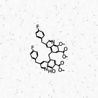 COC(=O)c1cc(Cc2cc(C(=O)OC)c(OC)c3ncc(Cc4ccc(F)cc4)cc23)c2cc(Cc3ccc(F)cc3)cnc2c1O